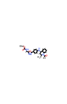 CCC(=O)N1c2ccccc2[C@H](Nc2ccc(-c3nnc(CNC(=O)OC(C)(C)C)o3)cc2)C[C@@H]1C